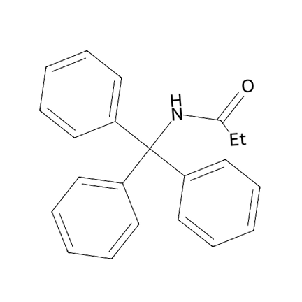 [CH2]CC(=O)NC(c1ccccc1)(c1ccccc1)c1ccccc1